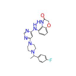 CC(c1ccc(F)cc1)N1CCN(c2cc(Nc3cccc4c3NC(=O)CO4)ncn2)CC1